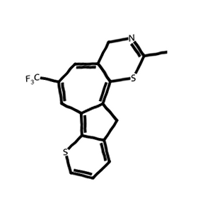 CC1=NCC2=CC(C(F)(F)F)=CC3=C4SC=CC=C4CC3=C2S1